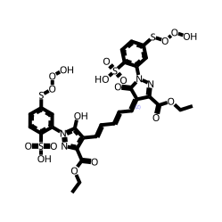 CCOC(=O)C1=NN(c2cc(SOOO)ccc2S(=O)(=O)O)C(=O)/C1=C\C=CC=Cc1c(C(=O)OCC)nn(-c2cc(SOOO)ccc2S(=O)(=O)O)c1O